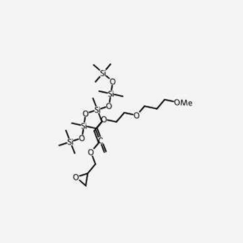 C=C=C(OCCOCCCOC)[Si](C)(O[Si](C)(C)C)O[Si](C)(CCCOCC1CO1)O[Si](C)(C)O[Si](C)(C)C